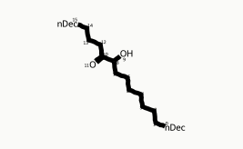 CCCCCCCCCCCCCCCCCC(O)C(=O)CCCCCCCCCCCCC